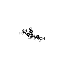 C[C@H](O)CCc1ccc(N2CCN(C[C@@](C)(O)c3ccnc(CO)c3)C[C@H]2c2ccc(Cl)cc2)c(C#N)c1